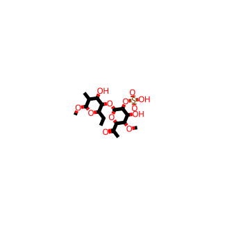 CCC1OC(OC)C(C)C(O)C1OC1OC(C(C)=O)C(OC)C(O)C1OS(=O)(=O)O